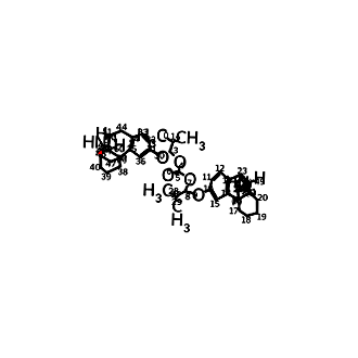 CC(C)C(OC(=O)OC(Oc1ccc2c(c1)[C@@]13CCCC[C@@H]1[C@@H](C2)NCC3)C(C)C)Oc1ccc2c(c1)[C@@]13CCCC[C@@H]1[C@@H](C2)NCC3